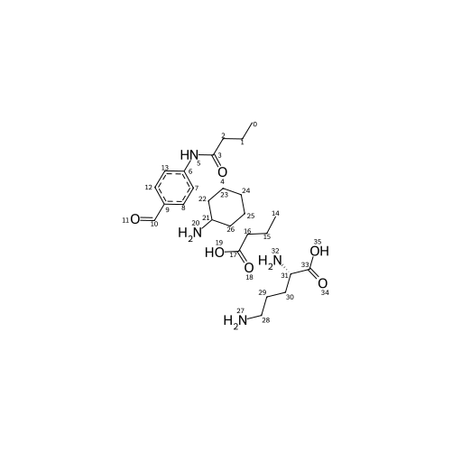 CCCC(=O)Nc1ccc(C=O)cc1.CCCC(=O)O.NC1CCCCC1.NCCC[C@H](N)C(=O)O